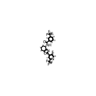 O=C(N[C@H]1CCCc2oc(-c3cc(C(F)(F)F)ncc3F)nc21)c1cccc(C(F)(F)F)c1